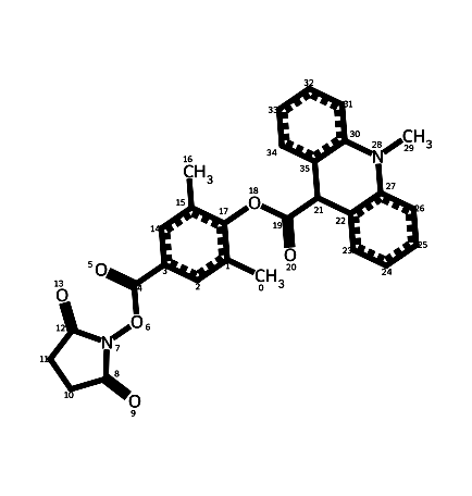 Cc1cc(C(=O)ON2C(=O)CCC2=O)cc(C)c1OC(=O)C1c2ccccc2N(C)c2ccccc21